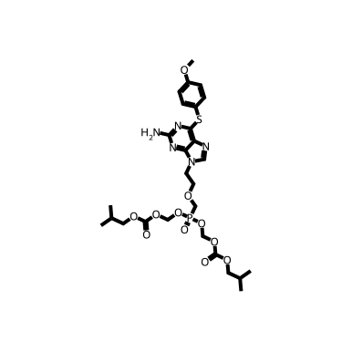 COc1ccc(Sc2nc(N)nc3c2ncn3CCOCP(=O)(OCOC(=O)OCC(C)C)OCOC(=O)OCC(C)C)cc1